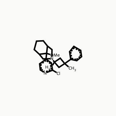 COC1(c2ccnc(Cl)c2)C2CCCC1CN(C1(C)CC(C)(c3ccccc3)C1)C2